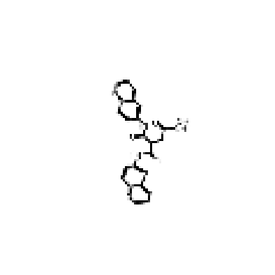 O=C(CC(C(=O)Nc1ccc2ncccc2c1)C(=O)Nc1ccc2ncccc2c1)NO